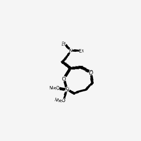 CCN(CC)CC1COCCC[Si](OC)(OC)O1